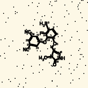 Bc1ccc(OCc2n[nH]c(=O)n2C)c(Oc2cc(C#N)cc(C#N)c2)c1F